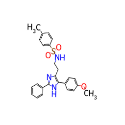 COc1ccc(-c2[nH]c(-c3ccccc3)nc2CCNS(=O)(=O)c2ccc(C)cc2)cc1